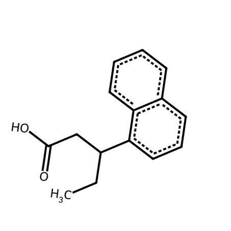 CCC(CC(=O)O)c1cccc2ccccc12